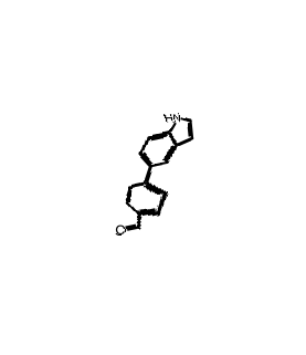 O=Cc1ccc(-c2ccc3[nH]ccc3c2)cc1